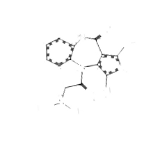 Cc1sc(C)c2c1C(=O)Nc1ccccc1N2C(=O)CN(C)C